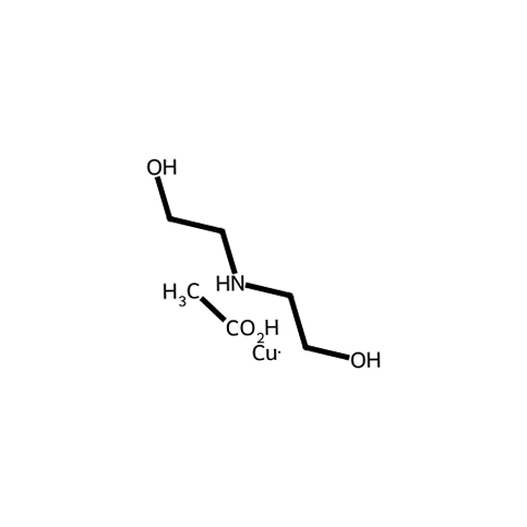 CC(=O)O.OCCNCCO.[Cu]